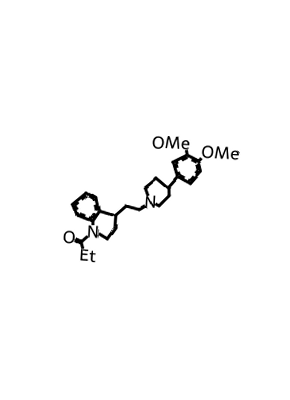 CCC(=O)N1CCC(CCN2CCC(c3ccc(OC)c(OC)c3)CC2)c2ccccc21